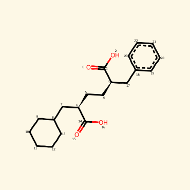 O=C(O)[C@H](CC[C@H](CC1CCCCC1)C(=O)O)Cc1ccccc1